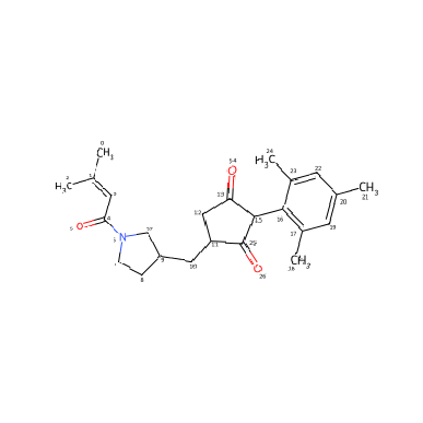 CC(C)=CC(=O)N1CCC(CC2CC(=O)C(c3c(C)cc(C)cc3C)C2=O)C1